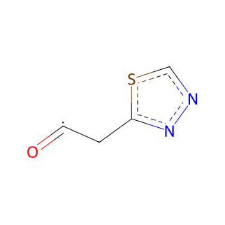 O=[C]Cc1nncs1